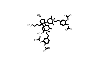 CCC(=O)Oc1ccc(CC[N+]2(C)C(C)CC(C3(C4CC(C)[N+](C)(CCc5ccc(OC(=O)CC)c(OC(=O)CC)c5)C(C)C4)CCCC3(CCCC(=O)O)CCCC(=O)O)CC2C)cc1OC(=O)CC.[Br-].[Br-]